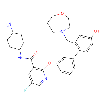 NC1CCC(NC(=O)c2cc(F)cnc2Oc2cccc(-c3ccc(O)cc3CN3CCCOCC3)c2)CC1